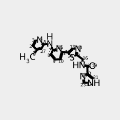 Cc1ccnc(Nc2cccc(-c3cnc(CNC(=O)c4c[nH]cn4)s3)n2)c1